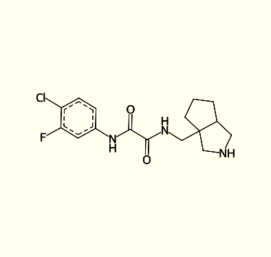 O=C(NCC12CCCC1CNC2)C(=O)Nc1ccc(Cl)c(F)c1